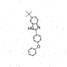 CC(C)(C)c1ccc2nc(-c3ccc(Oc4ccccc4)cc3)[nH]c2c1